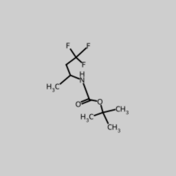 CC(CC(F)(F)F)NC(=O)OC(C)(C)C